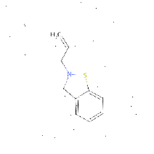 C=CCN1Cc2ccccc2S1